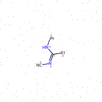 CC/C(=N/C#N)NC(C)C